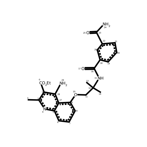 CCOC(=O)c1c(C)nc2cccc(OCC(C)(C)NC(=O)c3cccc(C(N)=O)c3)c2c1N